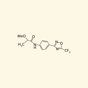 COC(C)C(=O)Nc1ccc(-c2noc(C(F)(F)F)n2)cc1